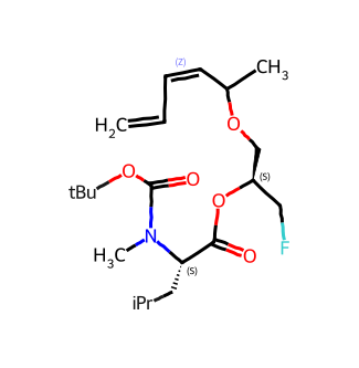 C=C/C=C\C(C)OC[C@@H](CF)OC(=O)[C@H](CC(C)C)N(C)C(=O)OC(C)(C)C